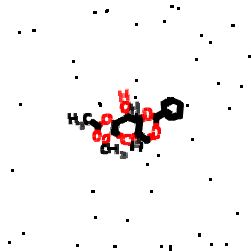 CO[C@H]1O[C@@H]2COC(c3ccccc3)O[C@@H]2[C@H](O)[C@H]1OC(C)=O